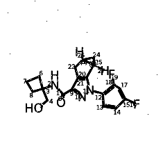 O=C(NC1(CO)CCC1)c1nn(-c2ccc(F)cc2F)c2c1C[C@@H]1C[C@H]21